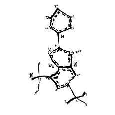 CC(C)(C)c1cc(C(C)(C)C)c2oc(-c3ccccn3)nc2c1